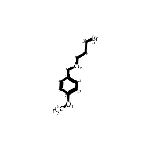 COc1ccc(COCCCBr)cc1